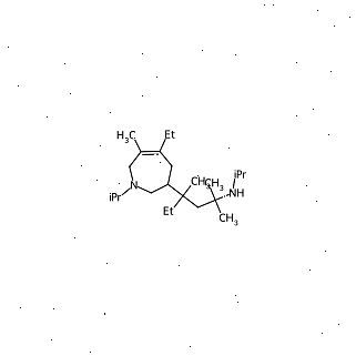 CCC1=C(C)CN(C(C)C)CC(C(C)(CC)CC(C)(C)NC(C)C)C1